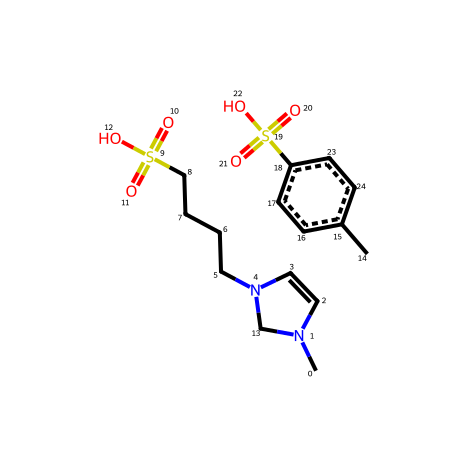 CN1C=CN(CCCCS(=O)(=O)O)C1.Cc1ccc(S(=O)(=O)O)cc1